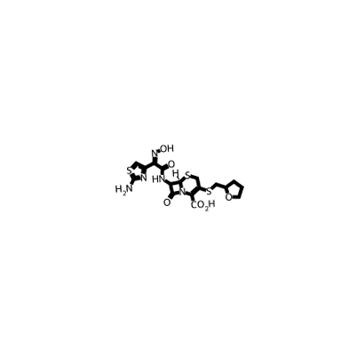 Nc1nc(/C(=N/O)C(=O)NC2C(=O)N3C(C(=O)O)=C(SCC4CCCO4)CS[C@H]23)cs1